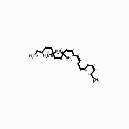 BC(B)(/C=C\C/C=C\C/C=C\C/C=C\CC)/C=C\C(B)(B)/C=C\CCC